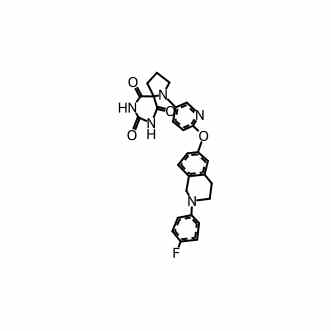 O=C1NC(=O)C2(CCCN2c2ccc(Oc3ccc4c(c3)CCN(c3ccc(F)cc3)C4)nc2)C(=O)N1